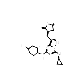 O=C1C/C(=C\c2cnn3c(NC4CC4)nc(NC4CCC(O)CC4)nc23)C(=O)N1